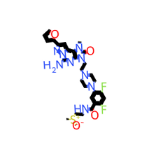 Cn1c(=O)n(CCN2CCN(c3cc(C(=O)NCC[S@+](C)[O-])c(F)cc3F)CC2)c2nc(N)n3nc(-c4ccco4)cc3c21